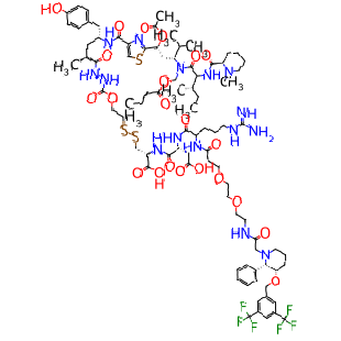 CCCC(=O)OCN(C(=O)C(NC(=O)[C@H]1CCCCN1C)[C@@H](C)CC)[C@H](C[C@@H](OC(C)=O)c1nc(C(=O)N[C@@H](Cc2ccc(O)cc2)C[C@H](C)C(=O)NNC(=O)OCCSSC[C@H](NC(=O)[C@@H](CC(=O)O)NC(=O)C(CCCNC(=N)N)NC(=O)CCOCCOCCNC(=O)CN2CCC[C@H](OCc3cc(C(F)(F)F)cc(C(F)(F)F)c3)[C@@H]2c2ccccc2)C(=O)O)cs1)C(C)C